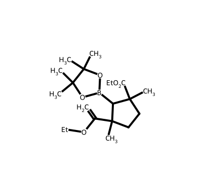 C=C(OCC)C1(C)CCC(C)(C(=O)OCC)C1B1OC(C)(C)C(C)(C)O1